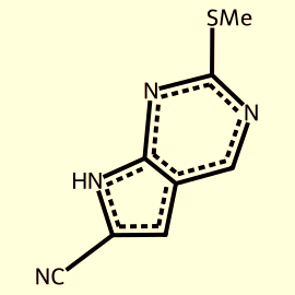 CSc1ncc2cc(C#N)[nH]c2n1